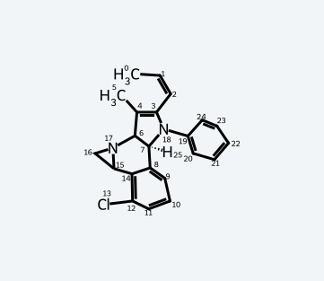 C/C=C\C1=C(C)C2[C@H](c3cccc(Cl)c3C3CN32)N1c1ccccc1